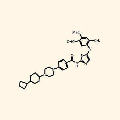 COc1cc(C)c(Sc2cnc(NC(=O)c3ccc(N4CCN(C5CCC(C6CCC6)CC5)CC4)cc3)s2)cc1C=O